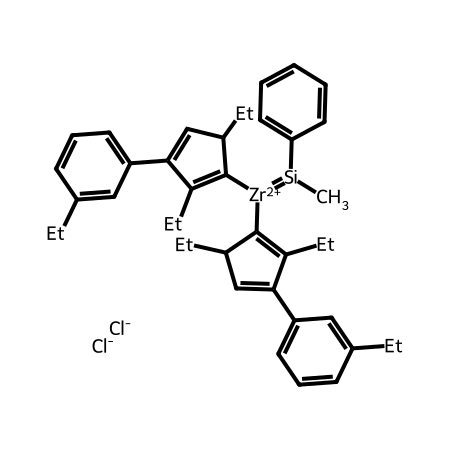 CCC1=[C]([Zr+2]([C]2=C(CC)C(c3cccc(CC)c3)=CC2CC)=[Si](C)c2ccccc2)C(CC)C=C1c1cccc(CC)c1.[Cl-].[Cl-]